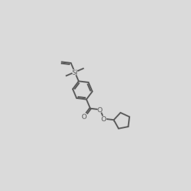 C=C[Si](C)(C)c1ccc(C(=O)OO[C]2CCCC2)cc1